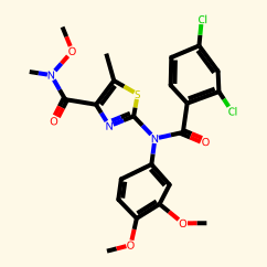 COc1ccc(N(C(=O)c2ccc(Cl)cc2Cl)c2nc(C(=O)N(C)OC)c(C)s2)cc1OC